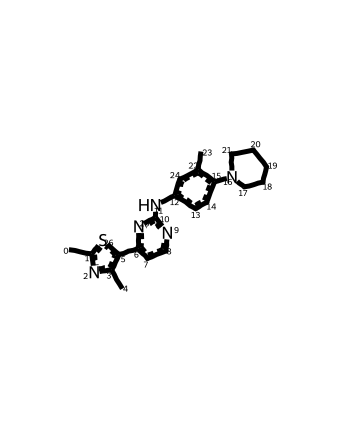 Cc1nc(C)c(-c2ccnc(Nc3ccc(N4CCCCC4)c(C)c3)n2)s1